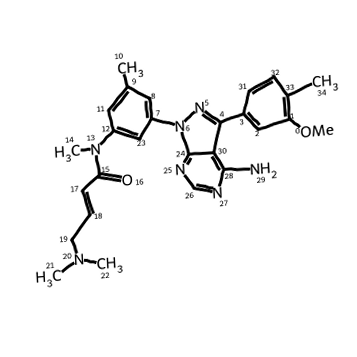 COc1cc(-c2nn(-c3cc(C)cc(N(C)C(=O)/C=C/CN(C)C)c3)c3ncnc(N)c23)ccc1C